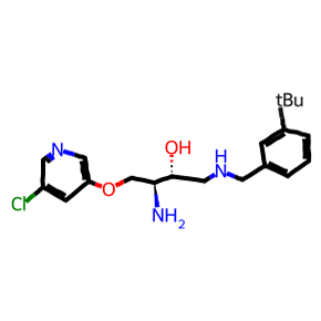 CC(C)(C)c1cccc(CNC[C@@H](O)[C@@H](N)COc2cncc(Cl)c2)c1